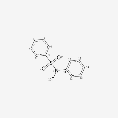 O=S(=O)(c1ccccc1)N(F)c1ccccc1